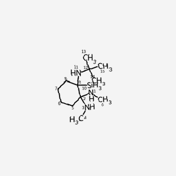 CNC1(NC)CCCCC1([SiH3])NC(C)(C)C